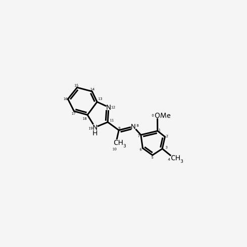 COc1cc(C)ccc1N=C(C)c1nc2ccccc2[nH]1